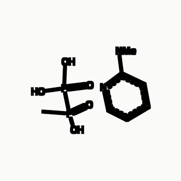 CNc1ccccn1.CP(=O)(O)P(=O)(O)O